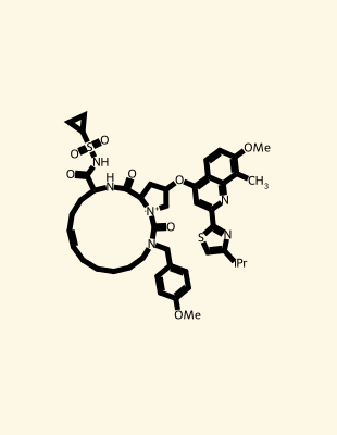 COc1ccc(CN2CCCCCC=CCCC(C(=O)NS(=O)(=O)C3CC3)NC(=O)C3CC(Oc4cc(-c5nc(C(C)C)cs5)nc5c(C)c(OC)ccc45)C[N+]3C2=O)cc1